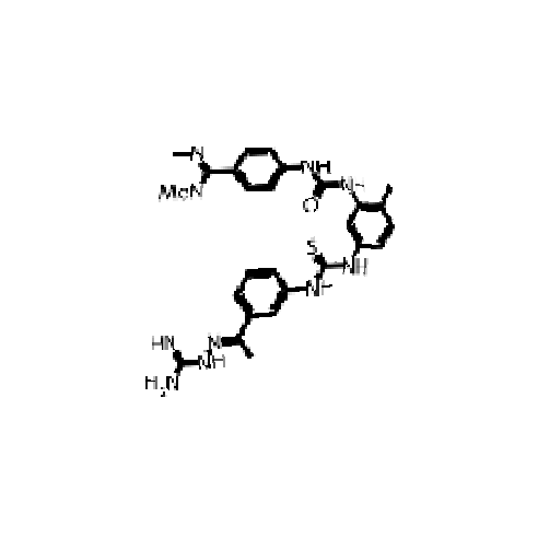 C/N=C(\NC)c1ccc(NC(=O)Nc2cc(NC(=S)Nc3cccc(/C(C)=N/NC(=N)N)c3)ccc2C)cc1